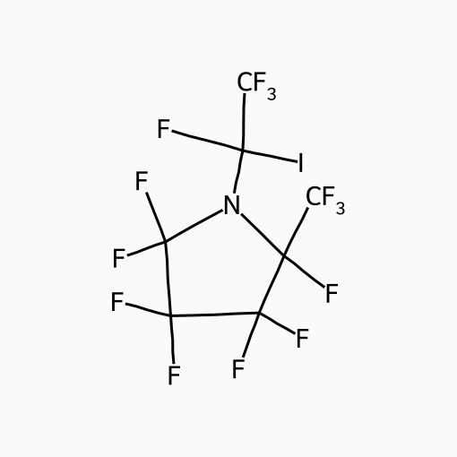 FC(F)(F)C(F)(I)N1C(F)(F)C(F)(F)C(F)(F)C1(F)C(F)(F)F